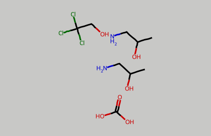 CC(O)CN.CC(O)CN.O=C(O)O.OCC(Cl)(Cl)Cl